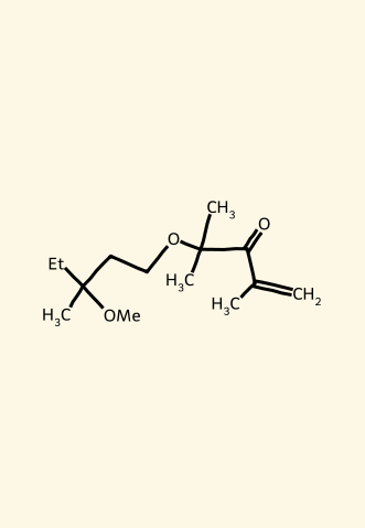 C=C(C)C(=O)C(C)(C)OCCC(C)(CC)OC